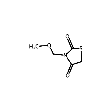 COCN1C(=O)CSC1=O